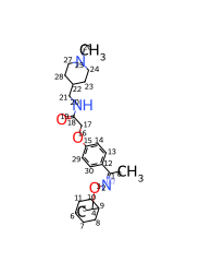 C/C(=N/OC1CC2CCC1CC2)c1ccc(OCC(=O)NCC2CCN(C)CC2)cc1